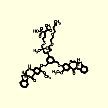 COCCOCCOCCN(CC(C)(C)SSCCC(C(C)=O)S(=O)(=O)O)c1cc(COc2cc3c(cc2OC)C(=O)N2c4ccccc4C[C@H]2C=N3)cc(COc2cc3c(cc2OC)C(=O)N2c4ccccc4C[C@H]2CN3)c1